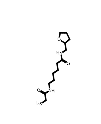 O=C(CS)NCCCCCC(=O)NCC1CCCO1